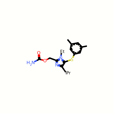 CCn1c(COC(N)=O)nc(C(C)C)c1Sc1cc(C)cc(C)c1